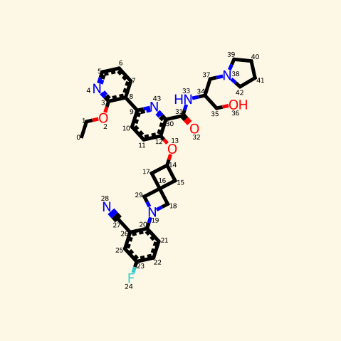 CCOc1ncccc1-c1ccc(OC2CC3(C2)CN(c2ccc(F)cc2C#N)C3)c(C(=O)NC(CO)CN2CCCC2)n1